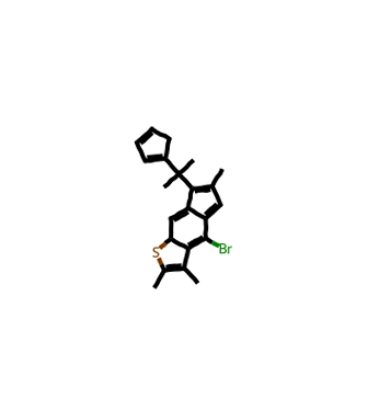 CC1=C(C(C)(C)C2=CC=CC2)C2=CC3SC(C)=C(C)C3=C(Br)C2=C1